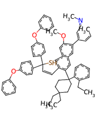 C\C=C/C(=C\C=N/C)c1cc2cc(C3(c4ccccc4CC)CCC(CC)(CC)CC3)c(/C=C\C(S)(c3ccc(Oc4ccccc4)cc3)c3ccc(Oc4ccccc4)cc3)cc2cc1OC